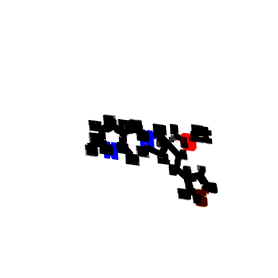 CCOC[C@]1(CCc2ccsc2)CCN(Cc2ccc(C)nc2C)C1